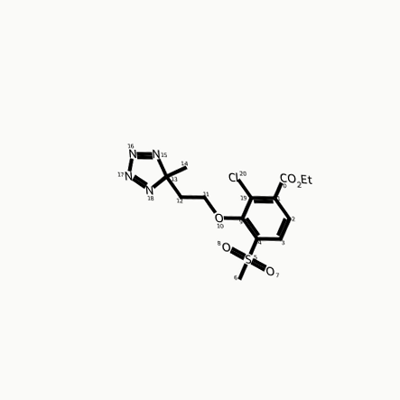 CCOC(=O)c1ccc(S(C)(=O)=O)c(OCCC2(C)N=NN=N2)c1Cl